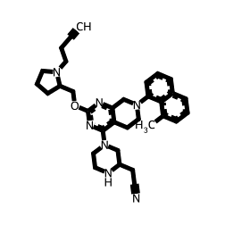 C#CCCN1CCCC1COc1nc2c(c(N3CCNC(CC#N)C3)n1)CCN(c1cccc3cccc(C)c13)C2